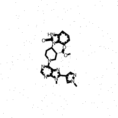 COC(=O)[C@@H]1CN(c2ncnc3c2nc(-c2cnn(C)c2)n3C)CC[C@H]1n1c(=O)[nH]c2ccccc21